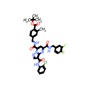 Cc1cc(CNC(=O)c2cc(C(=O)NCc3ccc(F)c(F)c3)nc3c(C(=O)Nc4ccccc4Cl)cnn23)ccc1C(=O)OC(C)(C)C